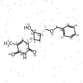 Cc1cn([C@H]2C[C@@H](COCc3ccccc3)[C@@H]2O)c(=O)[nH]c1=O